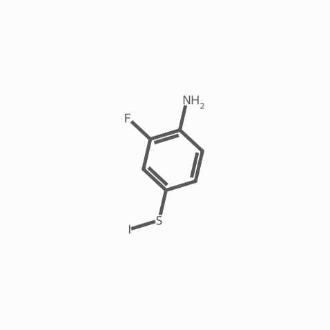 Nc1ccc(SI)cc1F